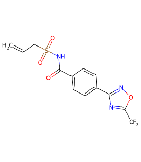 C=CCS(=O)(=O)NC(=O)c1ccc(-c2noc(C(F)(F)F)n2)cc1